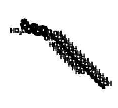 CC(O)CC(O)CC(O)CC(O)CC(O)C(O)C(O)C(O)C(O)C(O)C(O)C(O)C(O)C(O)C(O)C(O)C(O)C(O)C(O)C(O)C(O)CC(O)COC1CCC2(C)C(CCC3(C)C2CC=C2C4CC(C)(C)CCC4(C(=O)O)CCC23C)C1(C)CO